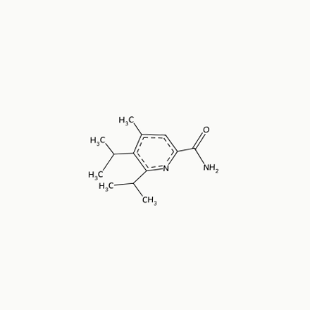 Cc1cc(C(N)=O)nc(C(C)C)c1C(C)C